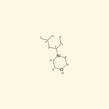 CCC(CC(C)C)N1CCOCC1